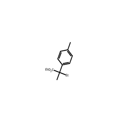 CCOC(=O)C(C)(CC)c1ccc(C)cc1